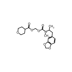 CC(Cc1ccc2c(c1)OCO2)N(C)C(=O)OCOC(=O)C1CCOCC1